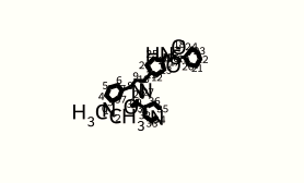 CN(C)c1cccc(C2CC(c3ccc(NS(=O)(=O)c4ccccc4)cc3)=NN2C(=O)c2ccncc2)c1